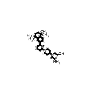 CC1(C)CCC(C)(C)c2cc(C3=CCCC(N4CCC(N(CCN)CCO)CC4)=N3)ccc21